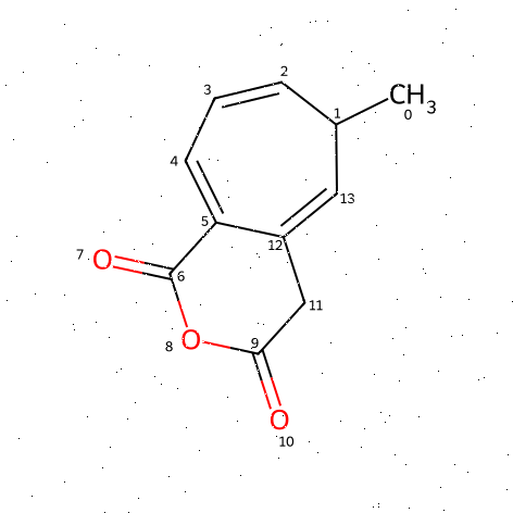 CC1C=CC=C2C(=O)OC(=O)CC2=C1